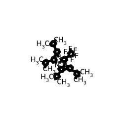 Cc1cc(C)cc(-c2ccc3c(c2)c2cc(-c4cc(C)cc(C)c4)ccc2n3-c2cc(-c3c(F)c(F)c(F)c(F)c3F)cc(-n3c4ccc(-c5cc(C)cc(C)c5)cc4c4cc(-c5cc(C)cc(C)c5)ccc43)c2C#N)c1